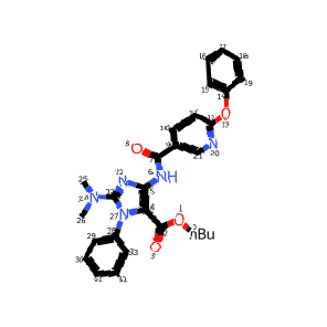 CCCCOC(=O)c1c(NC(=O)c2ccc(Oc3ccccc3)nc2)nc(N(C)C)n1-c1ccccc1